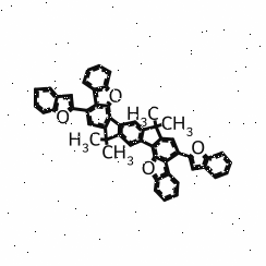 CC1(C)c2cc3c(cc2-c2c1cc(-c1cc4ccccc4o1)c1c2oc2ccccc21)C(C)(C)c1cc(-c2cc4ccccc4o2)c2c(oc4ccccc42)c1-3